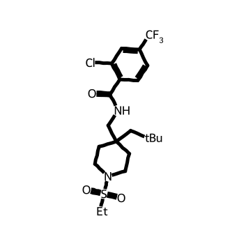 CCS(=O)(=O)N1CCC(CNC(=O)c2ccc(C(F)(F)F)cc2Cl)(CC(C)(C)C)CC1